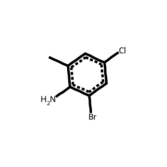 Cc1cc(Cl)cc(Br)c1N